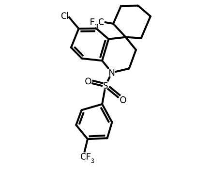 O=S(=O)(c1ccc(C(F)(F)F)cc1)N1CCC2(CCCCC2C(F)(F)F)c2cc(Cl)ccc21